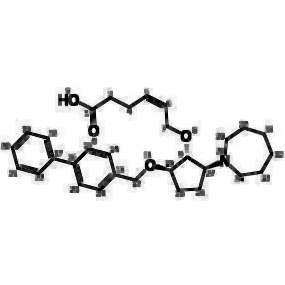 O=C(O)CC/C=C\CO[C@H]1[C@H](OCc2ccc(-c3ccccc3)cc2)CC[C@@H]1N1CCCCCC1